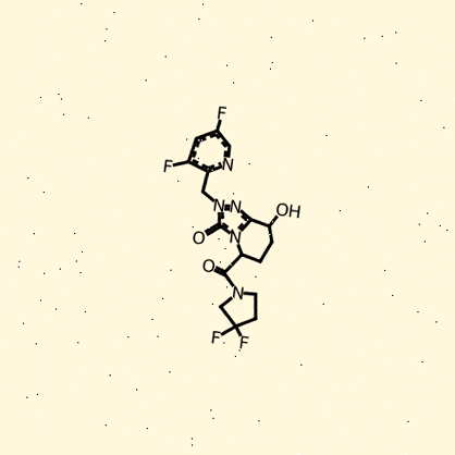 O=C(C1CCC(O)c2nn(Cc3ncc(F)cc3F)c(=O)n21)N1CCC(F)(F)C1